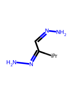 CC(C)C(/C=N\N)=N/N